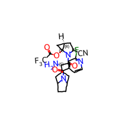 N#C[C@@H]1C[C@@H]2C[C@@]2(OC(=O)C(F)(F)F)N1C(=O)[C@@H](N)C1CC2CCC(C1)N2C(=O)c1ccnc(F)c1